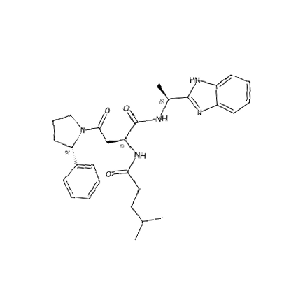 CC(C)CCC(=O)N[C@@H](CC(=O)N1CCC[C@H]1c1ccccc1)C(=O)N[C@@H](C)c1nc2ccccc2[nH]1